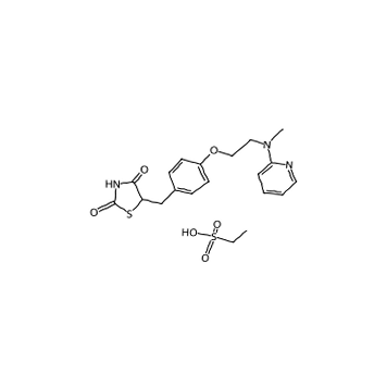 CCS(=O)(=O)O.CN(CCOc1ccc(CC2SC(=O)NC2=O)cc1)c1ccccn1